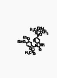 CCOc1cc([C@@H](CS(C)(=O)=O)n2c(=O)[nH]c3cc(B4OC(C)(C)C(C)(C)O4)cnc32)ccc1OC